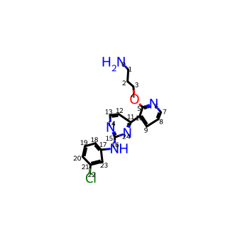 NCCCOc1ncccc1-c1ccnc(Nc2cccc(Cl)c2)n1